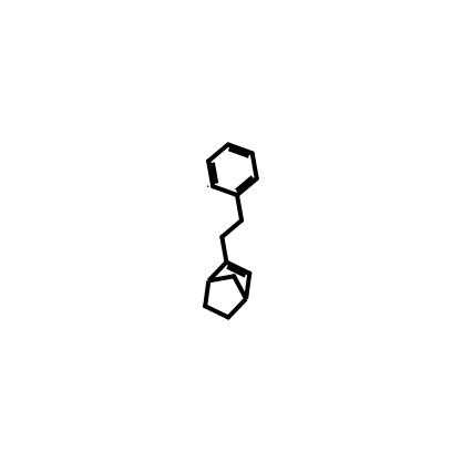 [c]1ccccc1CCC1=CC2CCC1C2